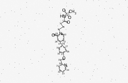 CS(=O)(=O)NC(=O)CCCn1ccc(-c2ccc(OCc3ccccn3)cc2)cc1=O